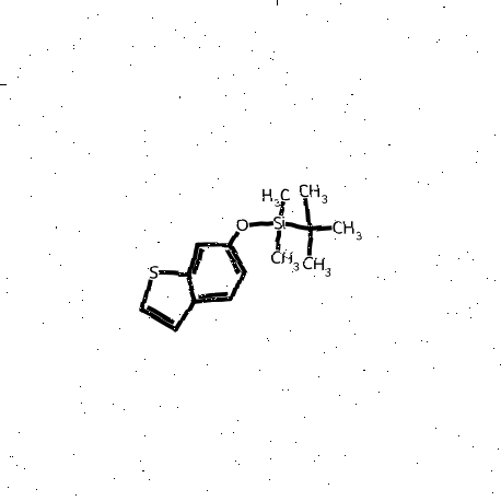 CC(C)(C)[Si](C)(C)Oc1ccc2ccsc2c1